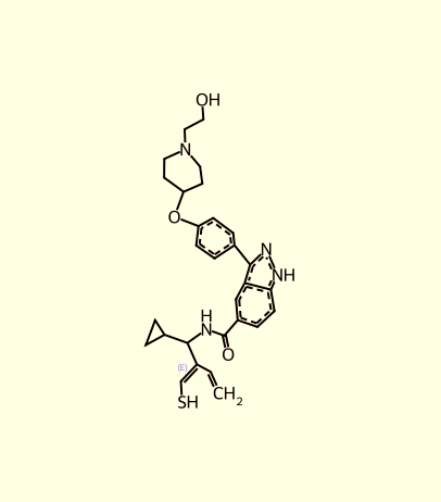 C=C/C(=C\S)C(NC(=O)c1ccc2[nH]nc(-c3ccc(OC4CCN(CCO)CC4)cc3)c2c1)C1CC1